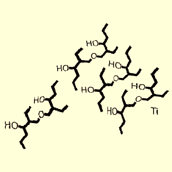 CCCC(O)C(CC)COCC(CC)C(O)CCC.CCCC(O)C(CC)COCC(CC)C(O)CCC.CCCC(O)C(CC)COCC(CC)C(O)CCC.CCCC(O)C(CC)COCC(CC)C(O)CCC.[Ti]